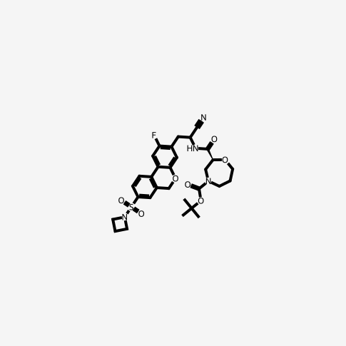 CC(C)(C)OC(=O)N1CCCO[C@H](C(=O)NC(C#N)Cc2cc3c(cc2F)-c2ccc(S(=O)(=O)N4CCC4)cc2CO3)C1